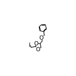 ICC1OCC(COCc2ccccc2)O1